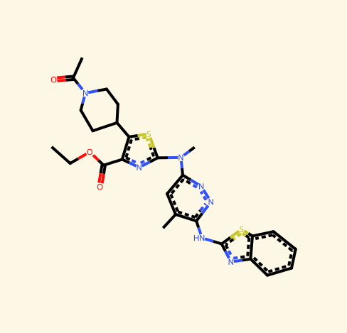 CCOC(=O)c1nc(N(C)c2cc(C)c(Nc3nc4ccccc4s3)nn2)sc1C1CCN(C(C)=O)CC1